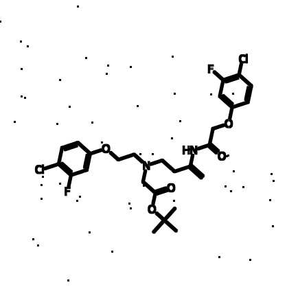 C=C(CCN(CCOc1ccc(Cl)c(F)c1)CC(=O)OC(C)(C)C)NC(=O)COc1ccc(Cl)c(F)c1